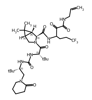 C=CCNC(=O)C(=O)C(CCC(F)(F)F)NC(=O)[C@@H]1[C@@H]2[C@H](CN1C(=O)[C@@H](NC(=O)N[C@H](CN1CCCCC1=O)C(C)(C)C)C(C)(C)C)C2(C)C